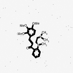 COc1ccc(/C=C/C(=O)c2ccccc2N(C)CCN(C)C)c(OC)c1OC